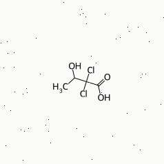 CC(O)C(Cl)(Cl)C(=O)O